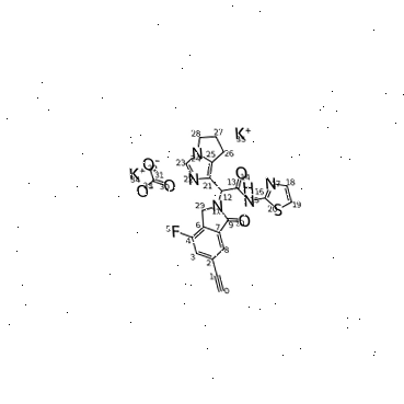 C#Cc1cc(F)c2c(c1)C(=O)N(C(C(=O)Nc1nccs1)c1ncn3c1CCC3)C2.O=C([O-])[O-].[K+].[K+]